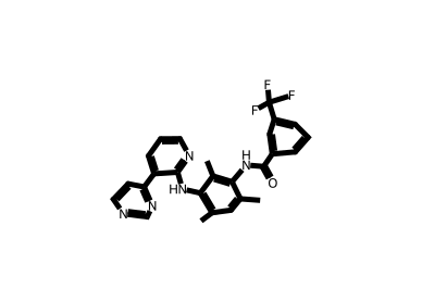 Cc1cc(C)c(Nc2ncccc2-c2ccncn2)c(C)c1NC(=O)c1cccc(C(F)(F)F)c1